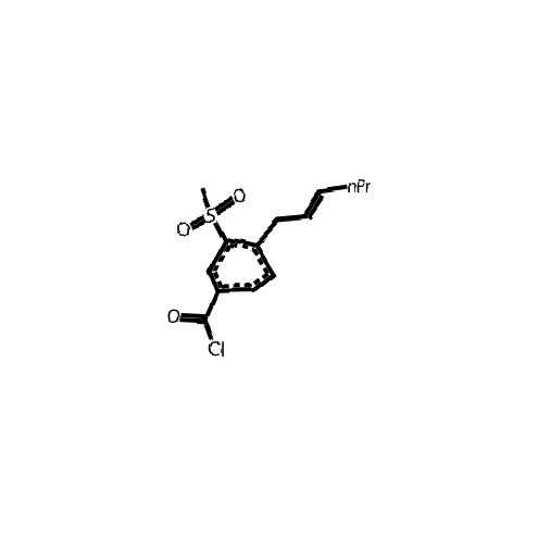 CCCC=CCc1ccc(C(=O)Cl)cc1S(C)(=O)=O